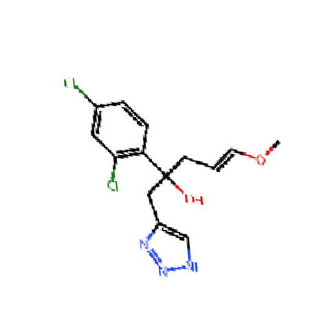 COC=CCC(O)(Cc1c[nH]nn1)c1ccc(Cl)cc1Cl